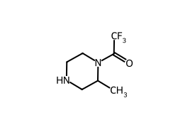 CC1CNCCN1C(=O)C(F)(F)F